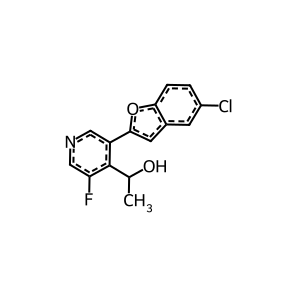 CC(O)c1c(F)cncc1-c1cc2cc(Cl)ccc2o1